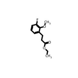 CCOC(=O)CCc1cccc(F)c1OC